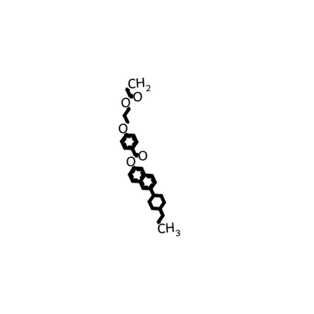 C=CC(=O)OCCCOc1ccc(C(=O)Oc2ccc3cc(C4CCC(CCC)CC4)ccc3c2)cc1